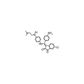 CC(=O)N(CCN(C)C)c1ccc(N/C(=C2\C(=O)Nc3cc(Cl)ccc32)c2ccc([N+](=O)[O-])cc2)cc1